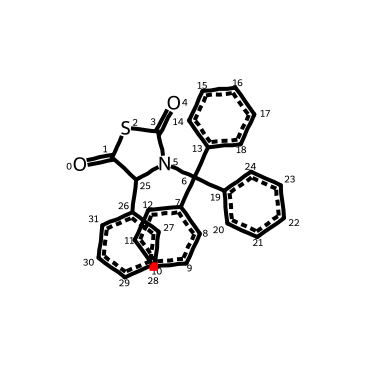 O=C1SC(=O)N(C(c2ccccc2)(c2ccccc2)c2ccccc2)C1c1ccccc1